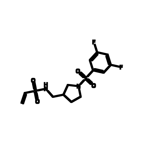 C=CS(=O)(=O)NCC1CCN(S(=O)(=O)c2cc(F)cc(F)c2)C1